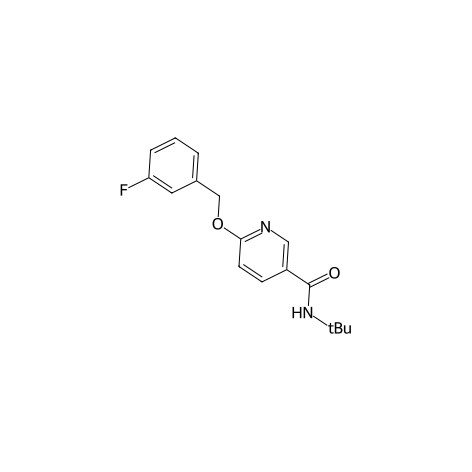 CC(C)(C)NC(=O)c1ccc(OCc2cccc(F)c2)nc1